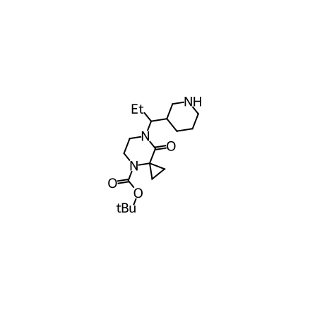 CCC(C1CCCNC1)N1CCN(C(=O)OC(C)(C)C)C2(CC2)C1=O